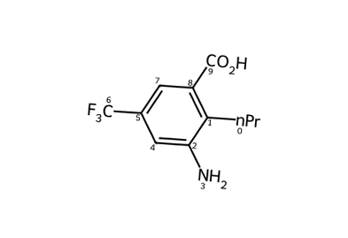 CCCc1c(N)cc(C(F)(F)F)cc1C(=O)O